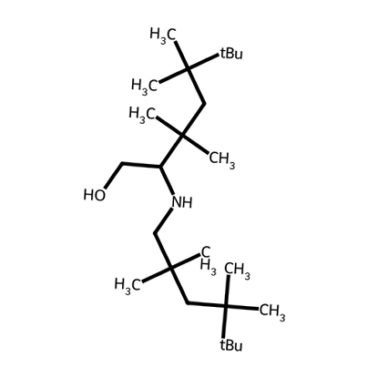 CC(C)(CNC(CO)C(C)(C)CC(C)(C)C(C)(C)C)CC(C)(C)C(C)(C)C